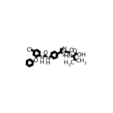 CC(C)C(NC(=O)c1ncc(-c2ccc(NC(=O)Nc3ccc(Cl)cc3Oc3ccccc3)cc2)s1)C(=O)O